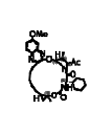 COc1ccc2nc3c(nc2c1)O[C@H]1CN(C(=O)[C@H](C2CCCCC2)NC(=O)O[C@]2(C)C[C@H]2CCCCC3)[C@H](C(C)=O)[C@@H]1C